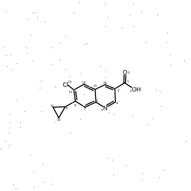 O=C(O)c1cnc2cc(C3CC3)c(Cl)cc2c1